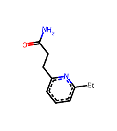 CCc1cccc(CCC(N)=O)n1